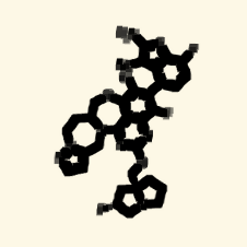 N#Cc1c(N)sc2c(F)ccc(-c3c(Cl)c4c5c(nc(OC[C@@]67CCCN6C[C@H](F)C7)nc5c3F)N3Cc5ccnn5CCC3CO4)c12